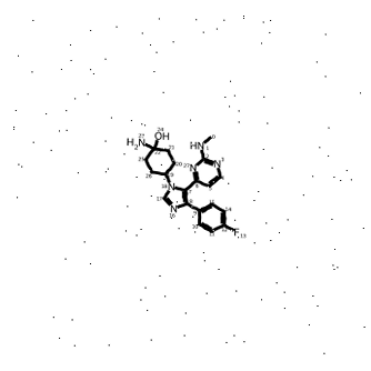 CNc1nccc(-c2c(-c3ccc(F)cc3)ncn2C2CCC(N)(O)CC2)n1